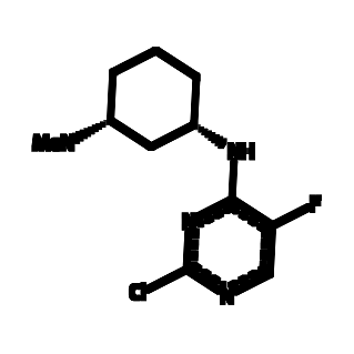 CN[C@@H]1CCC[C@H](Nc2nc(Cl)ncc2F)C1